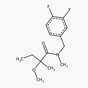 CCC(C)(OC)C(=O)N(C)Cc1ccc(F)c(F)c1